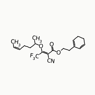 C/C=C\CCC(C)O/C(=C(/C#N)C(=O)OCCC1=CCCC=C1)C(F)(F)F